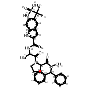 CN(C(=O)C1CCCN1C(=O)C(NC(=O)c1cc2cc(C(F)(F)P(=O)(O)O)ccc2[nH]1)C(C)(C)C)C(c1ccccc1)c1ccccc1